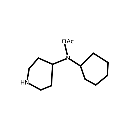 CC(=O)ON(C1CCCCC1)C1CCNCC1